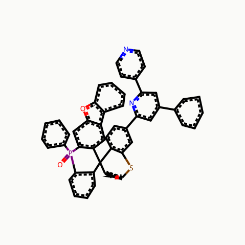 O=P1(c2ccccc2)c2ccccc2C2(c3ccccc3Sc3cc(-c4cc(-c5ccccc5)cc(-c5ccncc5)n4)ccc32)c2cc3c(cc21)oc1ccccc13